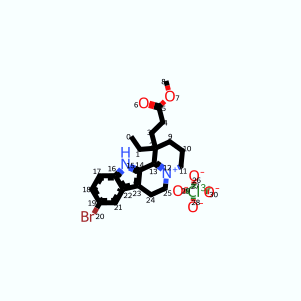 CCC1(CCC(=O)OC)CCC[N+]2=C1c1[nH]c3ccc(Br)cc3c1CC2.[O-][Cl+3]([O-])([O-])[O-]